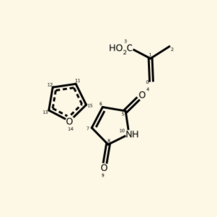 C=C(C)C(=O)O.O=C1C=CC(=O)N1.c1ccoc1